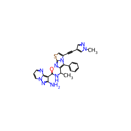 CC(NC(=O)c1c(N)nn2cccnc12)c1nc2scc(C#Cc3cnn(C)c3)n2c1-c1ccccc1